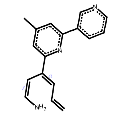 C=C/C=C(\C=C/N)c1cc(C)cc(-c2cccnc2)n1